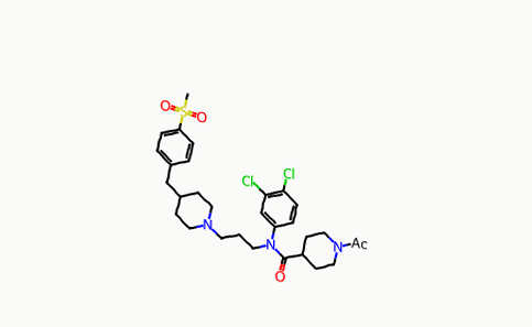 CC(=O)N1CCC(C(=O)N(CCCN2CCC(Cc3ccc(S(C)(=O)=O)cc3)CC2)c2ccc(Cl)c(Cl)c2)CC1